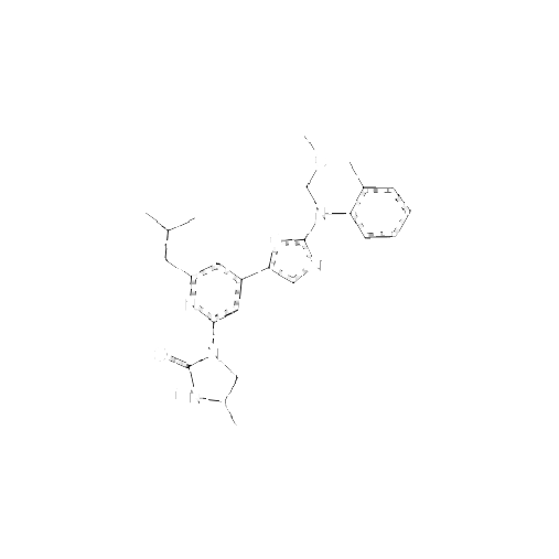 COCN(c1ncc(-c2cc(CC(C)C)nc(N3CC(C)NC3=O)c2)o1)c1ccccc1C